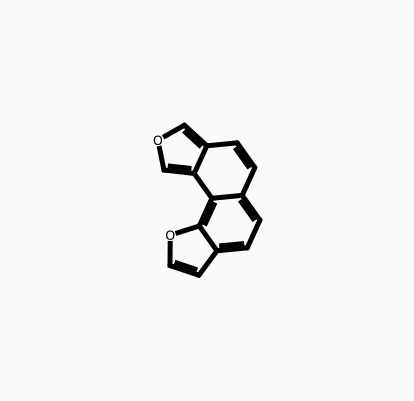 c1cc2ccc3ccc4cocc4c3c2o1